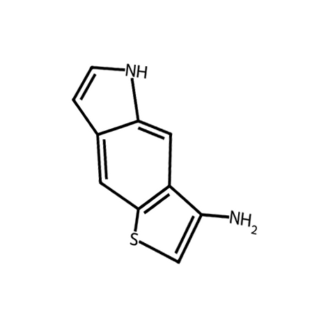 Nc1csc2cc3cc[nH]c3cc12